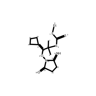 CCSC(=S)SC(C)(C)C(ON1C(=N)CCC1=O)=C1CCC1